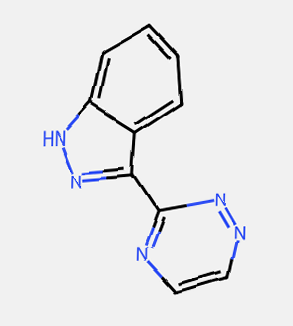 c1ccc2c(-c3nccnn3)n[nH]c2c1